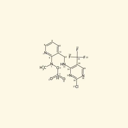 CN(O[SH](=O)=O)c1ncccc1CNc1nc(Cl)ncc1C(F)(F)F